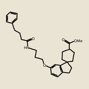 COC(=O)C1CCC2(CCc3ccc(OCCCNC(=O)CCCc4ccccc4)cc32)CC1